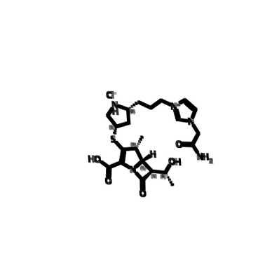 C[C@@H](O)[C@H]1C(=O)N2C(C(=O)O)=C(S[C@@H]3CN[C@H](CCC[n+]4ccn(CC(N)=O)c4)C3)[C@H](C)[C@H]12.[Cl-]